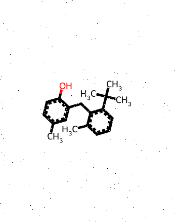 Cc1ccc(O)c(Cc2c(C)cccc2C(C)(C)C)c1